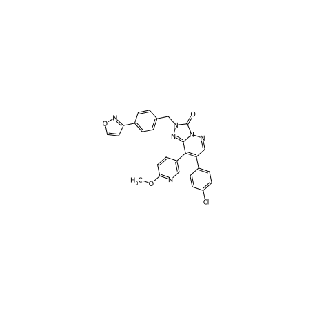 COc1ccc(-c2c(-c3ccc(Cl)cc3)cnn3c(=O)n(Cc4ccc(-c5ccon5)cc4)nc23)cn1